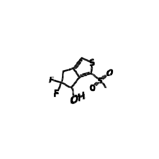 CS(=O)(=O)c1scc2c1C(O)C(F)(F)C2